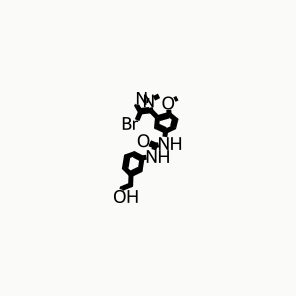 COc1ccc(NC(=O)Nc2cccc(CCO)c2)cc1-c1c(Br)cnn1C